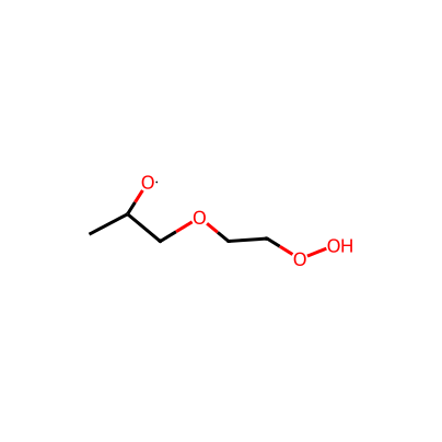 CC([O])COCCOO